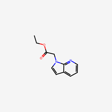 CCOC(=O)Cn1c[c]c2cccnc21